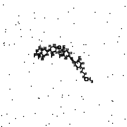 CCCCCc1ccc(C#Cc2ccc(C(F)(F)OC3=CCC(C4=CC(F)C(C(F)(F)F)C(F)=C4)C(F)=C3)c(F)c2)c(F)c1